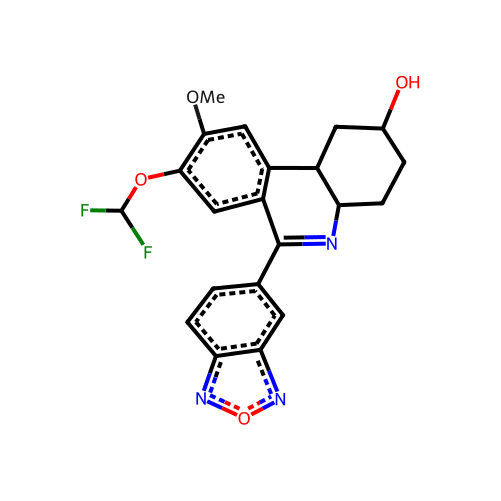 COc1cc2c(cc1OC(F)F)C(c1ccc3nonc3c1)=NC1CCC(O)CC21